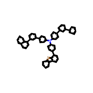 c1ccc(-c2cccc(-c3ccc(N(c4ccc(-c5cccc(-c6cccc7ccccc67)c5)cc4)c4ccc(-c5cccc6c5sc5ccccc56)cc4)cc3)c2)cc1